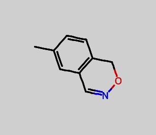 Cc1ccc2c(c1)C=NOC2